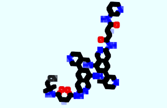 Cc1ccncc1-c1cc(NCc2ccncc2-c2cc(N)c3cnc(NC(=O)/C=C\C(=O)NC(C)(C)CC#N)cc3c2)c2cnc(NC(=O)/C=C/C(=O)Nc3cccnc3)cc2c1